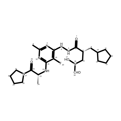 Cc1nc(NNC(=O)[C@H](CC2CCCC2)CN(O)C=O)c(F)c(N[C@H](C)C(=O)N2CCCC2)n1